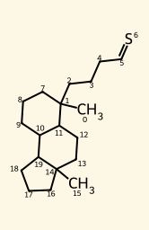 CC1(CCCC=S)CCCC2C1CCC1(C)CCCC21